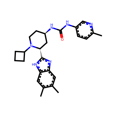 Cc1ccc(NC(=O)N[C@@H]2CCN(C3CCC3)[C@@H](c3nc4cc(C)c(C)cc4[nH]3)C2)cn1